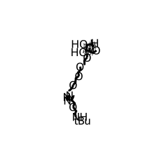 C[C@H]1[C@H]2OC[C@](COCCOCCOCCOCCn3cc(COCCNC(C)(C)C)nn3)(O2)[C@H](O)[C@@H]1O